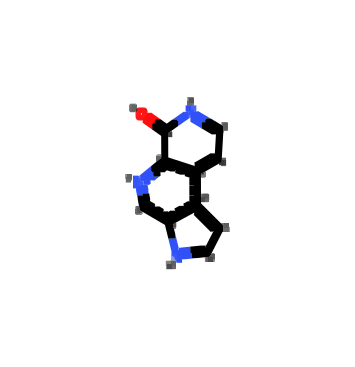 O=C1N=CC=c2c1ncc1c2=CC=N1